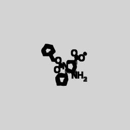 COC(=O)[C@H]1C[C@H](N)[C@H](c2ccccc2)N(C(=O)OCc2ccccc2)C1